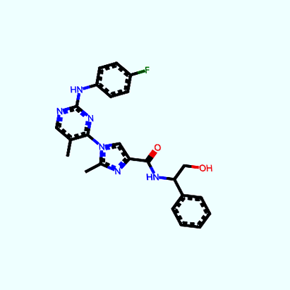 Cc1cnc(Nc2ccc(F)cc2)nc1-n1cc(C(=O)NC(CO)c2ccccc2)nc1C